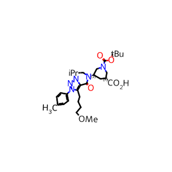 COCCCCc1c(C(=O)N(CC(C)C)[C@H]2C[C@@H](C(=O)O)CN(C(=O)OC(C)(C)C)C2)nnn1-c1ccc(C)cc1